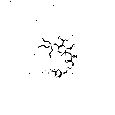 CCC[N+](CCC)(CCC)CC1=C(C(=O)[O-])N2C(=O)C(NC(=O)/C=N\OCc3csc(N)n3)[C@H]2SC1